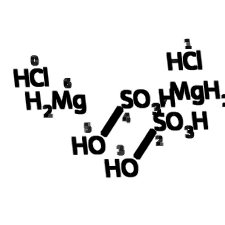 Cl.Cl.O=S(=O)(O)O.O=S(=O)(O)O.[MgH2].[MgH2]